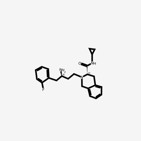 N[C@@H](CCN1Cc2ccccc2C[C@H]1C(=O)NC1CC1)Cc1ccccc1F